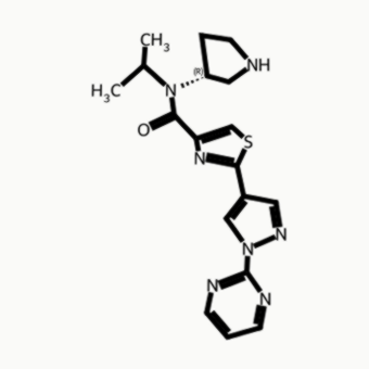 CC(C)N(C(=O)c1csc(-c2cnn(-c3ncccn3)c2)n1)[C@@H]1CCNC1